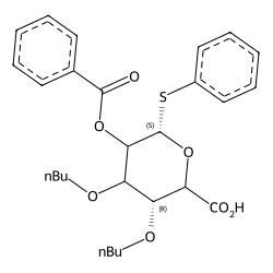 CCCCOC1C(OC(=O)c2ccccc2)[C@H](Sc2ccccc2)OC(C(=O)O)[C@@H]1OCCCC